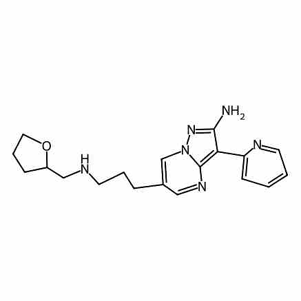 Nc1nn2cc(CCCNCC3CCCO3)cnc2c1-c1ccccn1